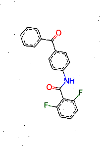 O=C(c1ccccc1)c1ccc(NC(=O)c2c(F)cccc2F)cc1